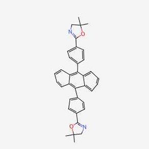 CC1(C)CN=C(c2ccc(-c3c4ccccc4c(-c4ccc(C5=NCC(C)(C)O5)cc4)c4ccccc34)cc2)O1